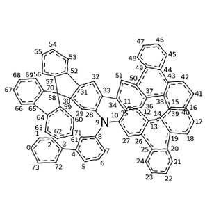 c1ccc(-c2cccc(N(c3ccc4c5ccccc5c5ccccc5c4c3)c3cc4c(cc3-c3ccc5c6ccccc6c6ccccc6c5c3)-c3ccccc3C43c4ccccc4-c4ccccc43)c2)cc1